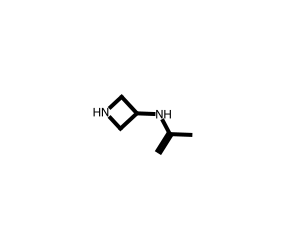 C=C(C)NC1CNC1